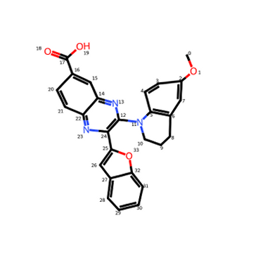 COc1ccc2c(c1)CCCN2c1nc2cc(C(=O)O)ccc2nc1-c1cc2ccccc2o1